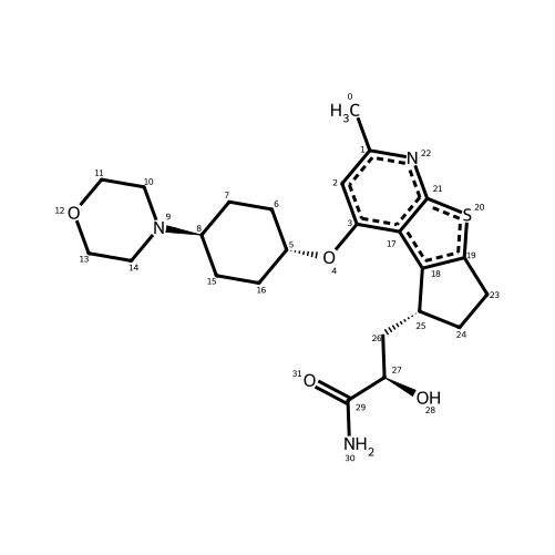 Cc1cc(O[C@H]2CC[C@H](N3CCOCC3)CC2)c2c3c(sc2n1)CC[C@@H]3C[C@@H](O)C(N)=O